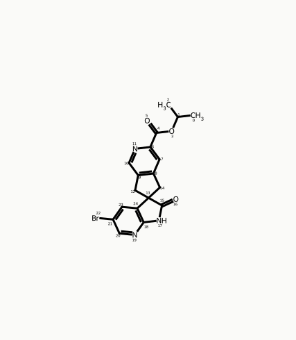 CC(C)OC(=O)c1cc2c(cn1)CC1(C2)C(=O)Nc2ncc(Br)cc21